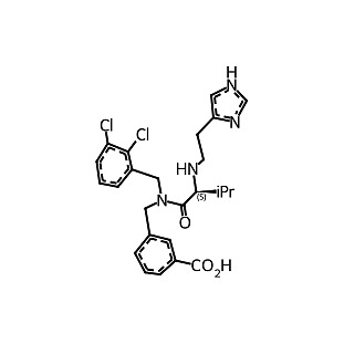 CC(C)[C@H](NCCc1c[nH]cn1)C(=O)N(Cc1cccc(C(=O)O)c1)Cc1cccc(Cl)c1Cl